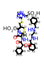 O=C(O)C1=C(CSc2nnnn2CS(=O)(=O)O)CS[C@@H]2[C@H](NC(=O)[C@H](O)c3ccccc3)C(=O)N12.c1ccc(CNCCNCc2ccccc2)cc1